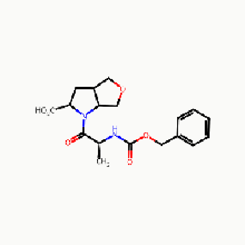 C[C@H](NC(=O)OCc1ccccc1)C(=O)N1C(C(=O)O)CC2COCC21